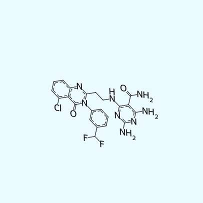 NC(=O)c1c(N)nc(N)nc1NCCc1nc2cccc(Cl)c2c(=O)n1-c1cccc(C(F)F)c1